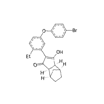 CCc1ccc(Oc2ccc(Br)cc2)cc1C1=C(O)[C@H]2[C@H]3CC[C@H](C3)[C@H]2C1=O